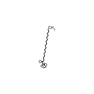 CCCCCCCCCCCCCCCCCC(=O)N1OCCO1